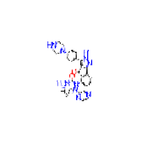 CN(c1cnccn1)N(C(N)=O)c1cccc2c1C(=O)c1c-2n[nH]c1-c1ccc(N2CCNCC2)cc1